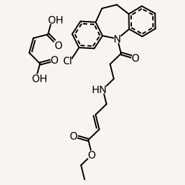 CCOC(=O)/C=C/CNCCC(=O)N1c2ccccc2CCc2ccc(Cl)cc21.O=C(O)/C=C\C(=O)O